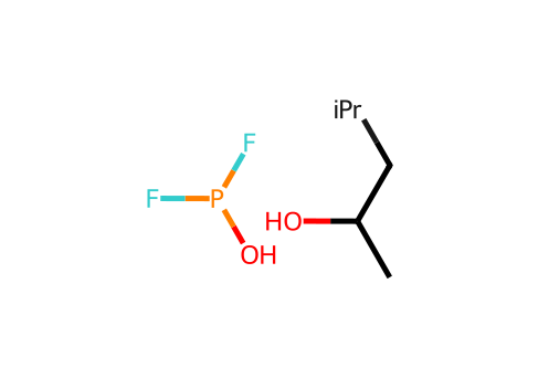 CC(C)CC(C)O.OP(F)F